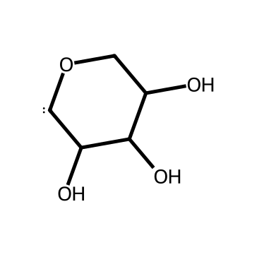 OC1[C]OCC(O)C1O